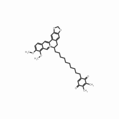 COc1ccc2cc3[n+](cc2c1OC)C(CCCCCCCCCCC1=CC(=O)C(C)=C(C)C1=O)Cc1cc2c(cc1-3)OCO2